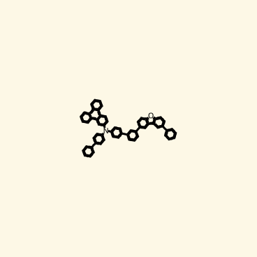 c1ccc(-c2ccc(N(c3ccc(-c4cccc(-c5ccc6oc7ccc(-c8ccccc8)cc7c6c5)c4)cc3)c3ccc4c5ccccc5c5ccccc5c4c3)cc2)cc1